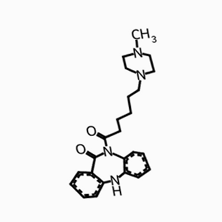 CN1CCN(CCCCCC(=O)N2C(=O)c3ccccc3Nc3ccccc32)CC1